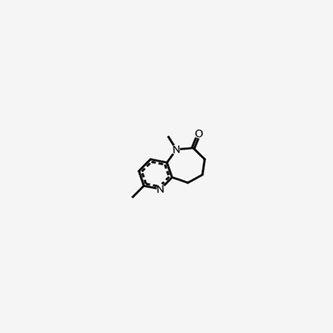 Cc1ccc2c(n1)CCCC(=O)N2C